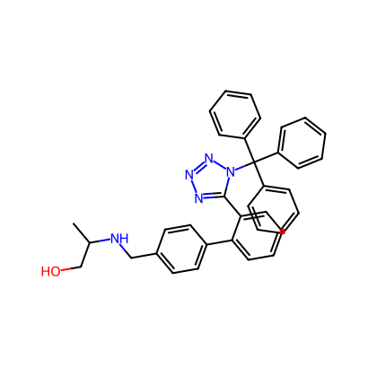 CC(CO)NCc1ccc(-c2ccccc2-c2nnnn2C(c2ccccc2)(c2ccccc2)c2ccccc2)cc1